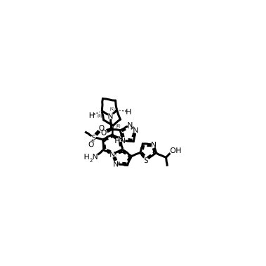 CC(O)c1ncc(-c2cnn3c(N)c(S(C)(=O)=O)c([C@H]4C[C@H]5CC[C@@H](C4)N5C(=O)c4nnc[nH]4)nc23)s1